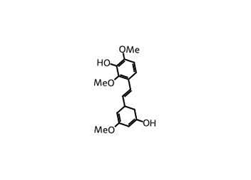 COC1=CC(/C=C/c2ccc(OC)c(O)c2OC)CC(O)=C1